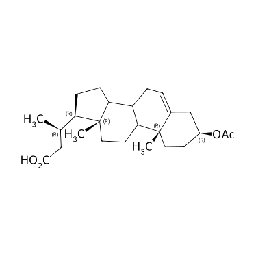 CC(=O)O[C@H]1CC[C@@]2(C)C(=CCC3C2CC[C@@]2(C)C3CC[C@@H]2[C@H](C)CC(=O)O)C1